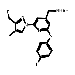 CC(=O)NCc1cc(Nc2ccc(F)cc2)nc(-n2cc(C)c(CF)n2)c1